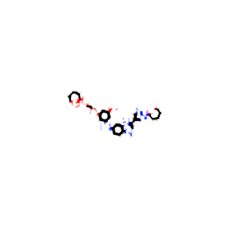 COc1cc(Nc2ccc3ncc(-c4cnn(C5CCCCO5)c4)nc3c2)cc(OCCOC2CCCCO2)c1